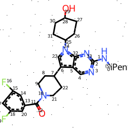 CCC[C@H](C)Nc1ncc2c(C3CCN(C(=O)c4cc(F)cc(F)c4)CC3)cn(C3CCC(O)CC3)c2n1